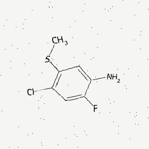 CSc1cc(N)c(F)cc1Cl